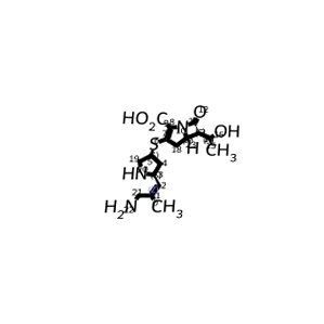 C/C(=C/[C@@H]1C[C@H](SC2=C(C(=O)O)N3C(=O)[C@H]([C@@H](C)O)[C@H]3C2)CN1)CN